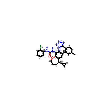 Cc1ccc(-c2nnn[nH]2)c(-c2cc(NC(=O)Nc3ccccc3F)c3c(c2)C(C2CC2)CCCO3)c1